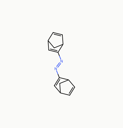 C1=CC2CC1C=C2N=NC1=CC2C=CC1C2